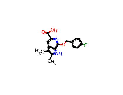 Cc1[nH]c2c(OCc3ccc(F)cc3)nc(C(=O)O)cc2c1C